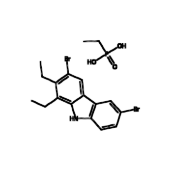 CCP(=O)(O)O.CCc1c(Br)cc2c([nH]c3ccc(Br)cc32)c1CC